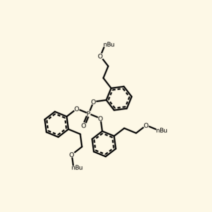 CCCCOCCc1ccccc1OP(=O)(Oc1ccccc1CCOCCCC)Oc1ccccc1CCOCCCC